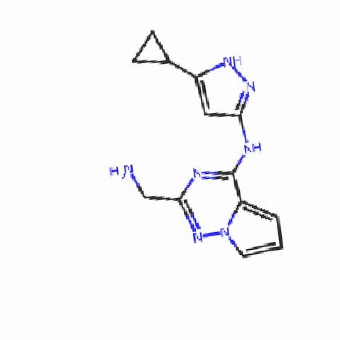 NCc1nc(Nc2cc(C3CC3)[nH]n2)c2cccn2n1